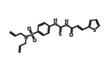 C=CCN(CC=C)S(=O)(=O)c1ccc(NC(=S)NC(=O)/C=C/c2cccs2)cc1